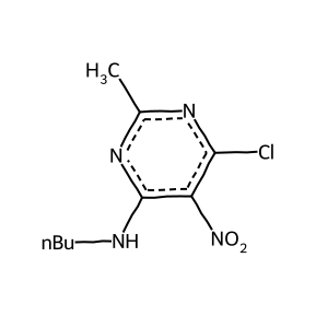 CCCCNc1nc(C)nc(Cl)c1[N+](=O)[O-]